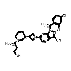 C[C@H](CCO)N1CCC[C@@H](C2CN(c3cnc4c(C#N)nn([C@H](C)c5ccc(Cl)cc5Cl)c4n3)C2)C1